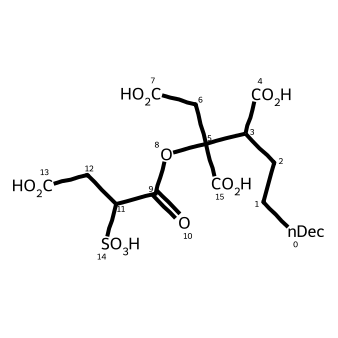 CCCCCCCCCCCCC(C(=O)O)C(CC(=O)O)(OC(=O)C(CC(=O)O)S(=O)(=O)O)C(=O)O